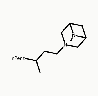 CCCCCC(C)CCN1CC2CC(C1)N2C